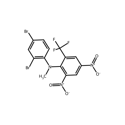 CN(c1ccc(Br)cc1Br)c1c([N+](=O)[O-])cc([N+](=O)[O-])cc1C(F)(F)F